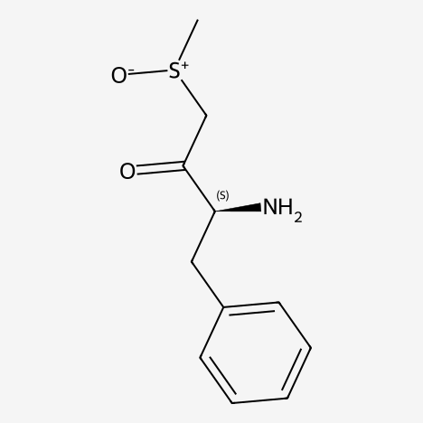 C[S+]([O-])CC(=O)[C@@H](N)Cc1ccccc1